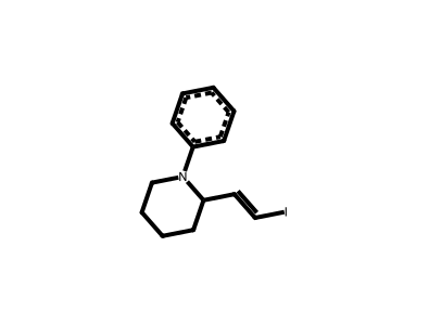 IC=CC1CCCCN1c1ccccc1